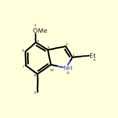 CCc1cc2c(OC)ccc(C)c2[nH]1